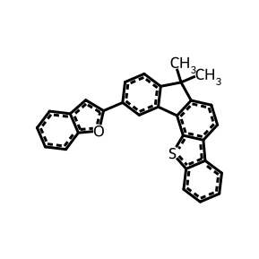 CC1(C)c2ccc(-c3cc4ccccc4o3)cc2-c2c1ccc1c2sc2ccccc21